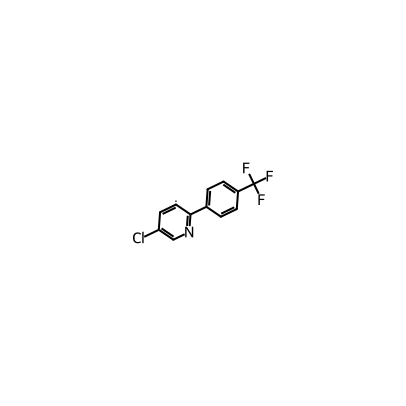 FC(F)(F)c1ccc(-c2[c]cc(Cl)cn2)cc1